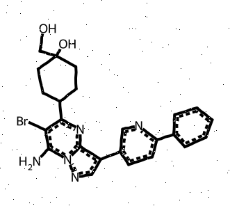 Nc1c(Br)c(C2CCC(O)(CO)CC2)nc2c(-c3ccc(-c4ccccc4)nc3)cnn12